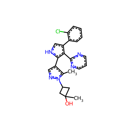 Cc1c(-c2[nH]cc(-c3ccccc3Cl)c2-c2ncccn2)cnn1C1CC(C)(O)C1